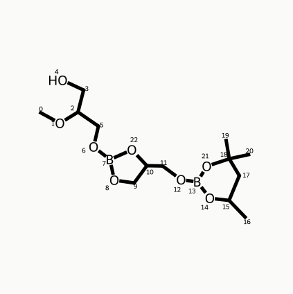 COC(CO)COB1OCC(COB2OC(C)CC(C)(C)O2)O1